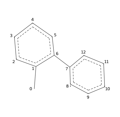 Cc1ccccc1-c1[c]cccc1